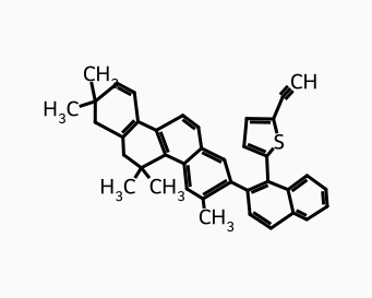 C#Cc1ccc(-c2c(-c3cc4ccc5c(c4cc3C)C(C)(C)CC3=C5C=CC(C)(C)C3)ccc3ccccc23)s1